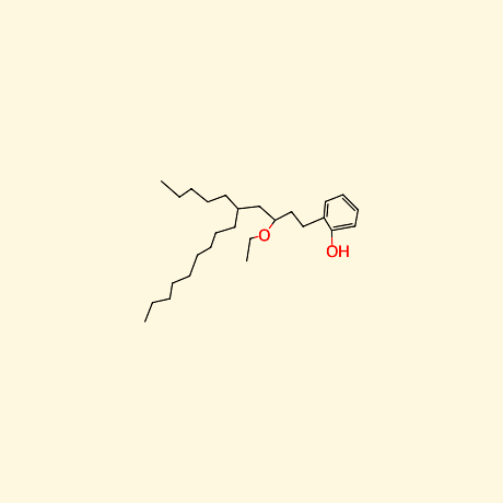 CCCCCCCCCC(CCCCC)CC(CCc1ccccc1O)OCC